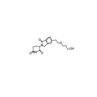 O=C1CCC(N2Cc3cc(CCOCCCO)ccc3C2=O)C(=O)N1